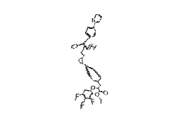 CCOC(=O)C(Cc1ccc(OCCNC(=O)c2ccc(-c3ccccn3)cc2)cc1)Oc1cc(F)c(F)c(F)c1